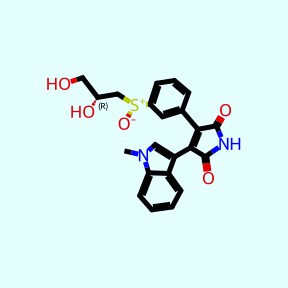 Cn1cc(C2=C(c3cccc([S+]([O-])C[C@H](O)CO)c3)C(=O)NC2=O)c2ccccc21